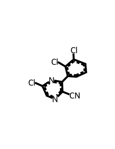 N#Cc1ncc(Cl)nc1-c1cccc(Cl)c1Cl